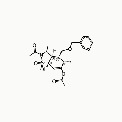 CC(=O)OC1=C[C@H]2[C@@H](C(C)N(C(C)=O)S2(=O)=O)[C@@H](COCc2ccccc2)[C@@H]1C